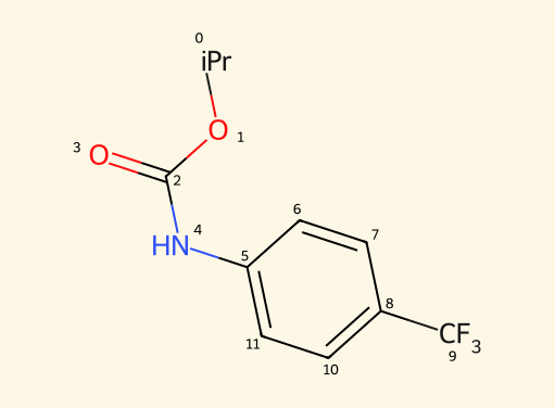 CC(C)OC(=O)Nc1ccc(C(F)(F)F)cc1